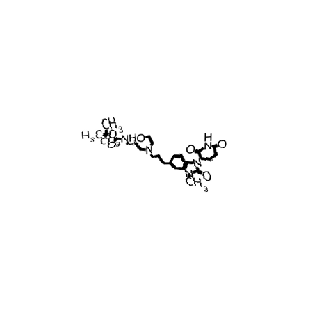 Cn1c(=O)n(C2CCC(=O)NC2=O)c2ccc(CCCN3CCO[C@@H](CNC(=O)OC(C)(C)C)C3)cc21